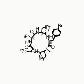 CC(C)C[C@@H]1NC(=O)[C@H](C(C)C)NC(=O)[C@H](CC(C)C)NC(=O)[C@H](CC(C)C)N(C)C(=O)[C@H](Cc2ccc(Br)cc2)NC1=O